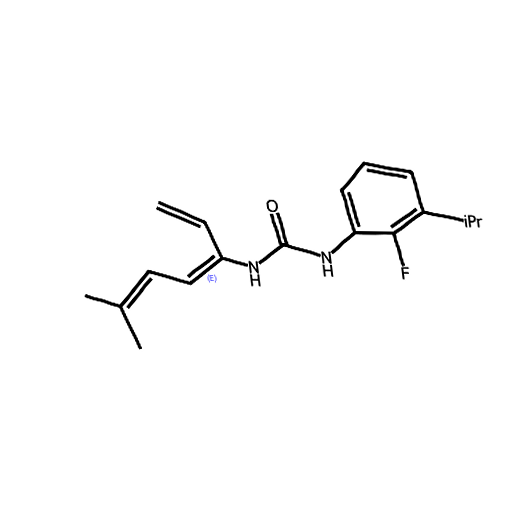 C=C/C(=C\C=C(C)C)NC(=O)Nc1cccc(C(C)C)c1F